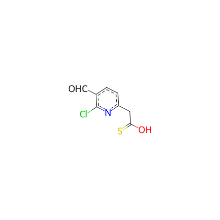 O=Cc1ccc(CC(O)=S)nc1Cl